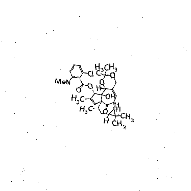 CNc1cccc(Cl)c1C(=O)O[C@H]1C(C)=C[C@]23C(=O)[C@@H](C=C4COC(C)(C)O[C@H]4C12O)[C@@H]1[C@@H](C[C@H]3C)C1(C)C